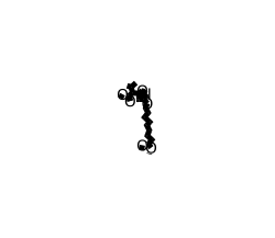 COC(=O)C(c1cc(OCCCCCCCCC(OC)OC)no1)C(C)C